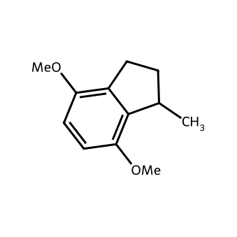 COc1ccc(OC)c2c1CCC2C